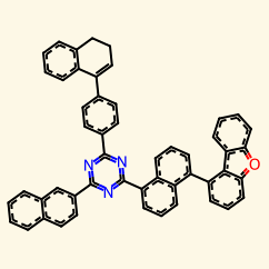 C1=C(c2ccc(-c3nc(-c4ccc5ccccc5c4)nc(-c4cccc5c(-c6cccc7oc8ccccc8c67)cccc45)n3)cc2)c2ccccc2CC1